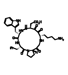 CC(C)C[C@@H]1NC(=O)[C@H](Cc2c[nH]c3ccccc23)NN[C@@H](CC(=O)O)C(=O)C(=O)[C@H](CCCCN)NCC(=O)[C@@H]2CCCN2C1=O